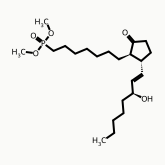 CCCCC[C@H](O)/C=C/[C@H]1CCC(=O)[C@@H]1CCCCCCCP(=O)(OC)OC